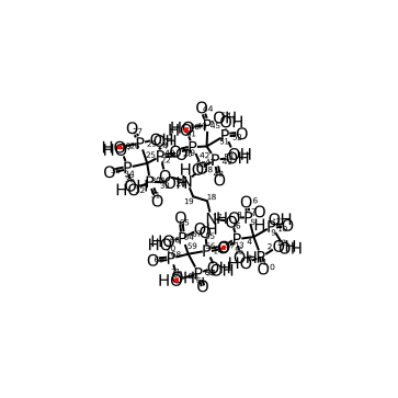 O=P(O)(O)C(P(=O)(O)O)(P(=O)(O)O)P(=O)(O)ON(CCN(OP(=O)(O)C(P(=O)(O)O)(P(=O)(O)O)P(=O)(O)O)OP(=O)(O)C(P(=O)(O)O)(P(=O)(O)O)P(=O)(O)O)OP(=O)(O)C(P(=O)(O)O)(P(=O)(O)O)P(=O)(O)O